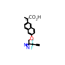 C#CC(F)(F)C1(COc2ccc3cc([C@H](C)C(=O)O)ccc3c2)N=N1